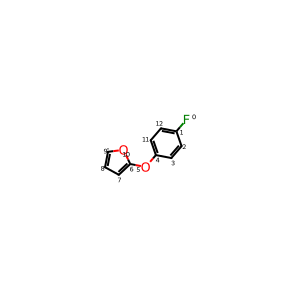 Fc1ccc(Oc2cc[c]o2)cc1